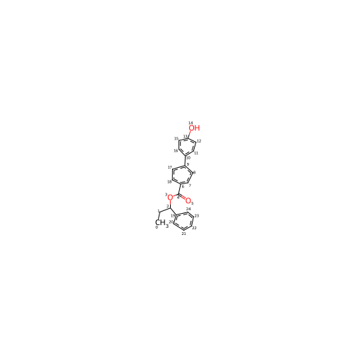 CCC(OC(=O)c1ccc(-c2ccc(O)cc2)cc1)c1ccccc1